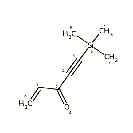 C=CC(=O)C#C[Si](C)(C)C